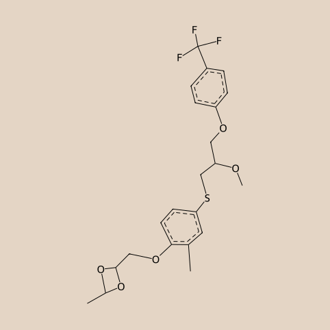 COC(COc1ccc(C(F)(F)F)cc1)CSc1ccc(OCC2OC(C)O2)c(C)c1